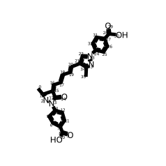 CC1=NN(c2ccc(C(=O)O)cc2)C(=O)\C1=C/C=C/C=C/c1cn(-c2ccc(C(=O)O)cc2)nc1C